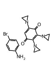 Nc1ccc(Br)cc1.O=C1C=C(N2CC2)C(=O)C(N2CC2)=C1N1CC1